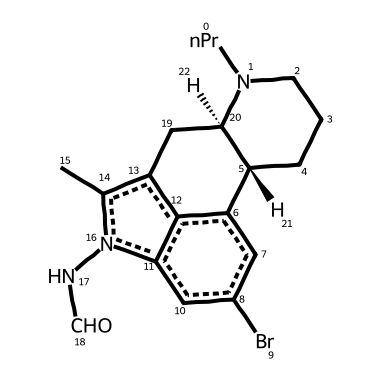 CCCN1CCC[C@@H]2c3cc(Br)cc4c3c(c(C)n4NC=O)C[C@H]21